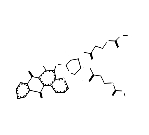 C[C@@H]1O[C@@H](Oc2c(O)c3c(c4cccnc24)C(=O)c2ccccc2C3=O)[C@H](F)[C@H](OC(=O)CCNC(=O)OC(C)(C)C)[C@@H]1OC(=O)CCNC(=O)OC(C)(C)C